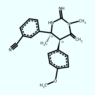 C=C1[C@@H](c2ccc(OC)cc2)[C@@](C)(c2cccc(C#N)c2)NC(=N)N1C